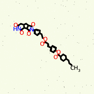 CCCCC1CCC(C(=O)Oc2ccc(/C=C/C(=O)OCCc3ccc(N4C(=O)C5CC6CC(=O)NC(=O)C6C5C4=O)cc3)cc2)CC1